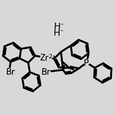 Brc1cccc2c1C(c1ccccc1)[C]([Zr+2][C]1=Cc3c4ccc(Br)c3C1c1ccc(cc1)P4c1ccccc1)=C2.[H-].[H-]